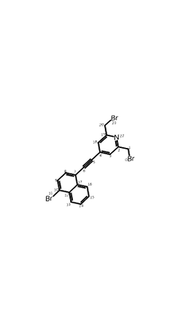 BrCc1cc(C#Cc2ccc(Br)c3ccccc23)cc(CBr)n1